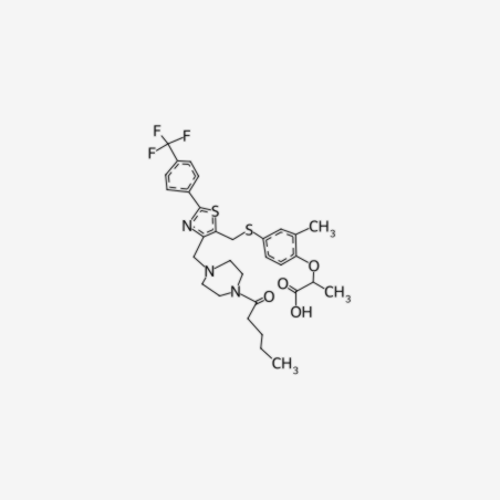 CCCCC(=O)N1CCN(Cc2nc(-c3ccc(C(F)(F)F)cc3)sc2CSc2ccc(OC(C)C(=O)O)c(C)c2)CC1